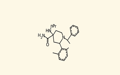 CCCNC1(C(N)=O)CCN(C(C)c2ccccc2)C(c2c(C)cccc2C)C1